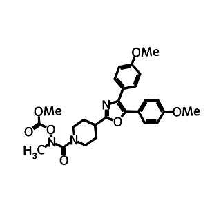 COC(=O)ON(C)C(=O)N1CCC(c2nc(-c3ccc(OC)cc3)c(-c3ccc(OC)cc3)o2)CC1